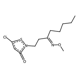 CCCCCC(CCn1sc(Cl)cc1=O)=NOC